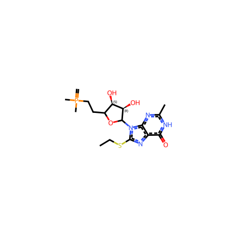 C=P(C)(C)CCC1OC(n2c(SCC)nc3c(=O)[nH]c(C)nc32)[C@H](O)[C@@H]1O